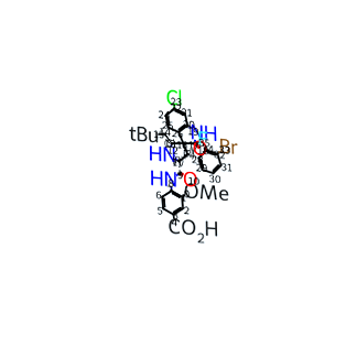 COc1cc(C(=O)O)ccc1NC(=O)[C@@H]1N[C@@H](CC(C)(C)C)C2(C(=O)Nc3cc(Cl)ccc32)[C@@H]1c1cccc(Br)c1F